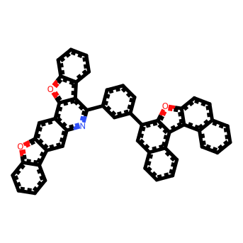 c1cc(-c2cc3ccccc3c3c2oc2ccc4ccccc4c23)cc(-c2nc3cc4c(cc3c3oc5ccccc5c23)oc2ccccc24)c1